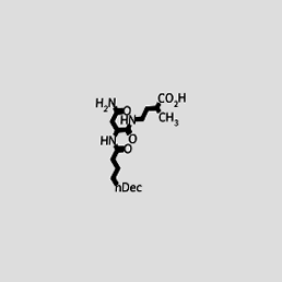 CCCCCCCCCCCCCC(=O)NC(CC(N)=O)C(=O)NCCC(C)C(=O)O